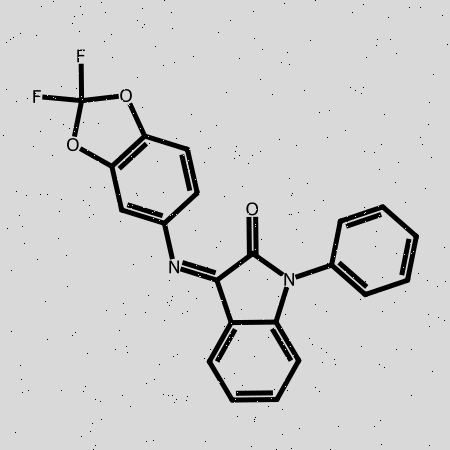 O=C1C(=Nc2ccc3c(c2)OC(F)(F)O3)c2ccccc2N1c1ccccc1